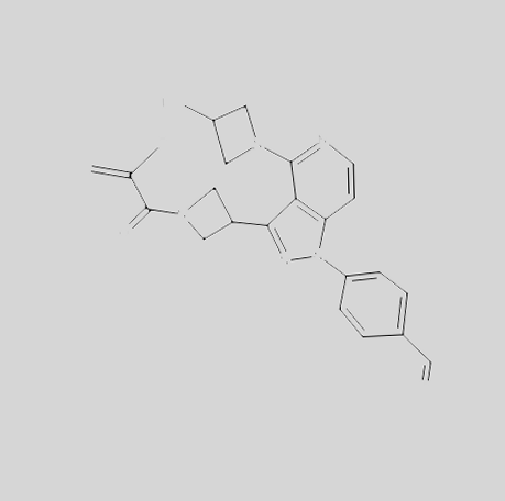 C=C(F)C(=O)N1CC(c2nn(-c3ccc(C=O)cc3)c3ccnc(N4CC(O)C4)c23)C1